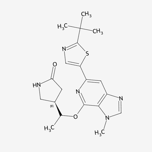 CC(Oc1nc(-c2cnc(C(C)(C)C)s2)cc2ncn(C)c12)[C@H]1CNC(=O)C1